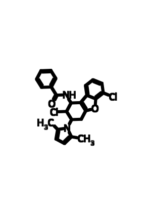 Cc1ccc(C)n1C1Cc2oc3c(Cl)cccc3c2C(NC(=O)c2ccccc2)C1Cl